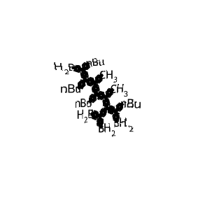 Bc1ccc(N(c2ccc(B)cc2)c2ccc(N(c3ccc(N(c4ccc(B)cc4)c4ccc(CCCC)cc4)cc3)c3ccc(N(c4ccc(C)cc4)c4ccc(N(c5ccc(CCCC)cc5)c5ccc(N(c6ccc(C)cc6)c6ccc(N(c7ccc(CCCC)cc7)c7ccc(N(c8ccc(B)cc8)c8ccc(CCCC)cc8)cc7)cc6)cc5)cc4)cc3)cc2)cc1